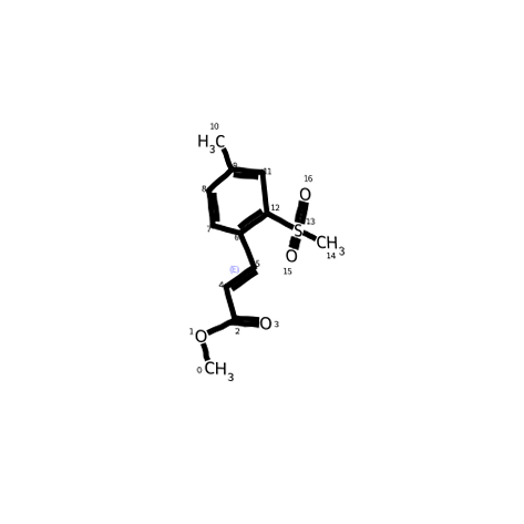 COC(=O)/C=C/c1ccc(C)cc1S(C)(=O)=O